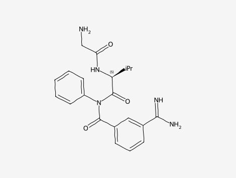 CC(C)[C@H](NC(=O)CN)C(=O)N(C(=O)c1cccc(C(=N)N)c1)c1ccccc1